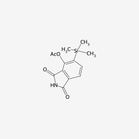 CC(=O)Oc1c([Si](C)(C)C)ccc2c1C(=O)NC2=O